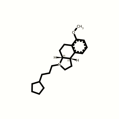 COc1cccc2c1CC[C@@H]1[C@H]2CCN1CCCC1CCCC1